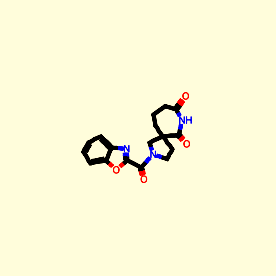 O=C1CCCC2(CCN(C(=O)c3nc4ccccc4o3)C2)C(=O)N1